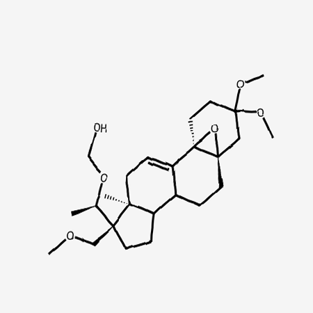 COC[C@]1([C@@H](C)OCO)CCC2C3CC[C@@]45CC(OC)(OC)CC[C@@]4(O5)C3=CC[C@@]21C